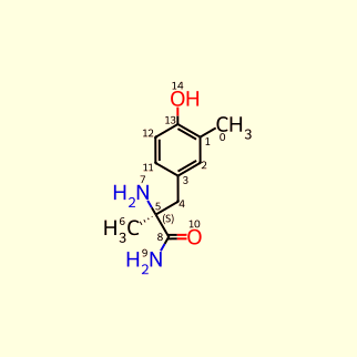 Cc1cc(C[C@](C)(N)C(N)=O)ccc1O